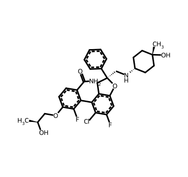 C[C@H](O)COc1ccc(C(N)=O)c(-c2c(Cl)c(F)cc3c2C[C@@](CN[C@H]2CC[C@@](C)(O)CC2)(c2ccccc2)O3)c1F